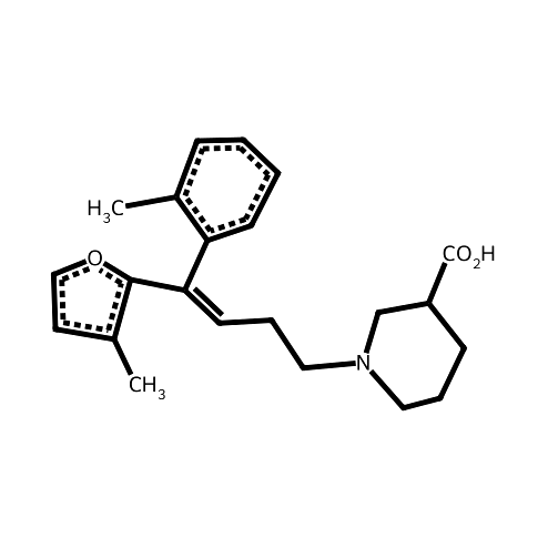 Cc1ccccc1/C(=C\CCN1CCCC(C(=O)O)C1)c1occc1C